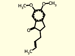 CC=CCC1Cc2cc(OC)c(OC)cc2C1=O